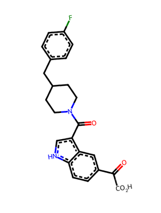 O=C(O)C(=O)c1ccc2[nH]cc(C(=O)N3CCC(Cc4ccc(F)cc4)CC3)c2c1